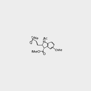 COC(=O)/C=C/C1C(C(=O)OC)c2cc(OC)ccc2N1C(C)=O